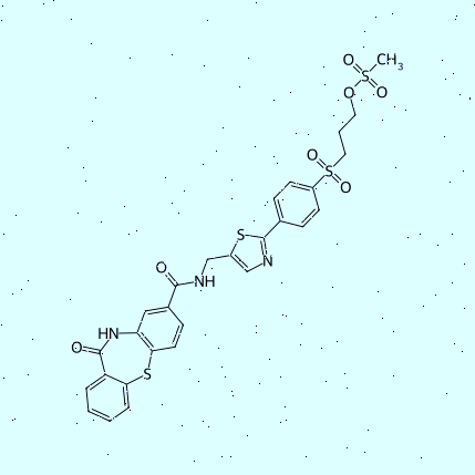 CS(=O)(=O)OCCCS(=O)(=O)c1ccc(-c2ncc(CNC(=O)c3ccc4c(c3)NC(=O)c3ccccc3S4)s2)cc1